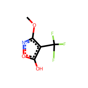 COc1noc(O)c1C(F)(F)F